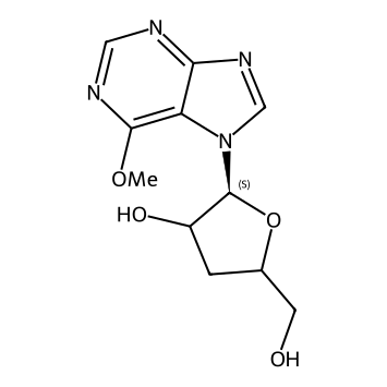 COc1ncnc2ncn([C@H]3OC(CO)CC3O)c12